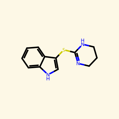 c1ccc2c(SC3=NCCCN3)c[nH]c2c1